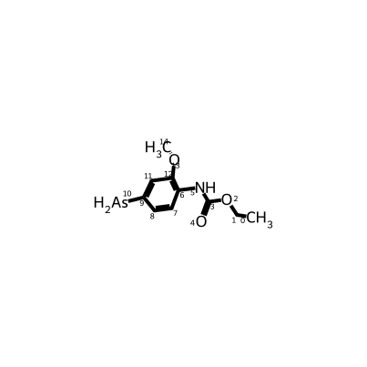 CCOC(=O)Nc1ccc([AsH2])cc1OC